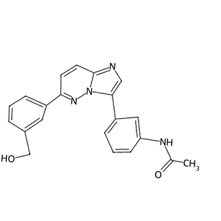 CC(=O)Nc1cccc(-c2cnc3ccc(-c4cccc(CO)c4)nn23)c1